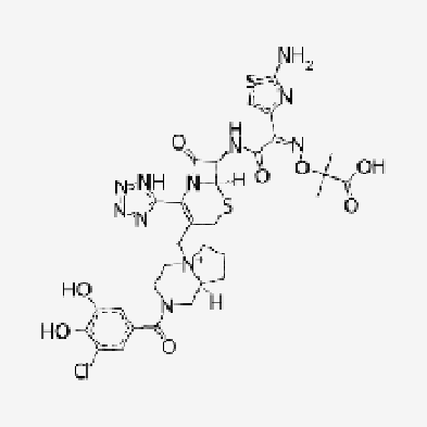 CC(C)(O/N=C(\C(=O)N[C@@H]1C(=O)N2C(c3nnn[nH]3)=C(C[N+]34CCC[C@H]3CN(C(=O)c3cc(O)c(O)c(Cl)c3)CC4)CS[C@H]12)c1csc(N)n1)C(=O)O